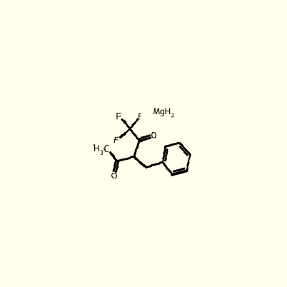 CC(=O)C(Cc1ccccc1)C(=O)C(F)(F)F.[MgH2]